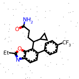 CCc1nc2ccc(-c3ccc(C(F)(F)F)cc3)c(C(CCC(N)=O)C3CC3)c2o1